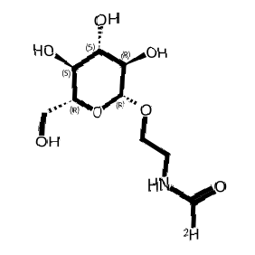 [2H]C(=O)NCCO[C@@H]1O[C@H](CO)[C@@H](O)[C@H](O)[C@H]1O